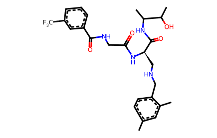 Cc1ccc(CNC[C@@H](NC(=O)CNC(=O)c2cccc(C(F)(F)F)c2)C(=O)NC(C)C(C)O)c(C)c1